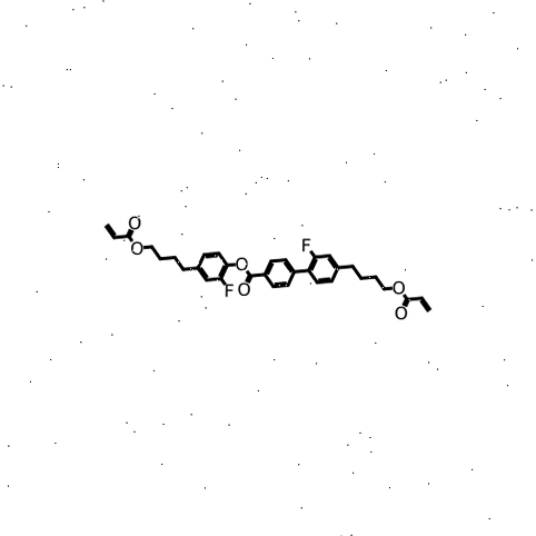 C=CC(=O)OCCCCc1ccc(OC(=O)c2ccc(-c3ccc(CCCCOC(=O)C=C)cc3F)cc2)c(F)c1